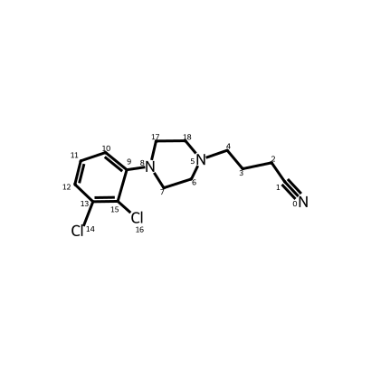 N#CCCCN1CCN(c2cccc(Cl)c2Cl)CC1